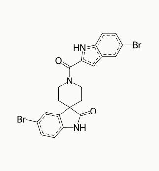 O=C(c1cc2cc(Br)ccc2[nH]1)N1CCC2(CC1)C(=O)Nc1ccc(Br)cc12